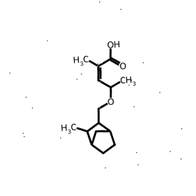 CC(=CC(C)OCC1C2CCC(C2)C1C)C(=O)O